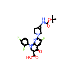 CC(C)(C)OC(=O)NC1C2CCN(c3nc4c(cc3F)c(=O)c(C(=O)O)cn4-c3ccc(F)cc3F)CC21